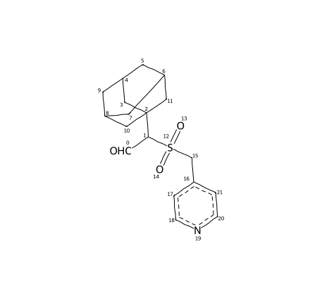 O=CC(C12CC3CC(CC(C3)C1)C2)S(=O)(=O)Cc1ccncc1